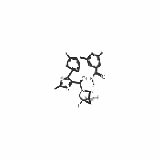 Cc1cc(C)cc(C(=O)NC[C@@H]2[C@@H]3C[C@@H]3CN2C(=O)c2nc(C)sc2-c2cccc(C)c2)c1